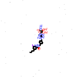 CCCCc1cc(I)cc(C(=O)NCc2ccc(CNc3ncnc4c3ncn4[C@@H]3O[C@H](C(=O)NC)C(O)C3O)cc2)c1